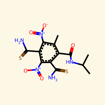 Cc1c(C(=O)NC(C)C)c(C(N)=S)c([N+](=O)[O-])c(C(N)=S)c1[N+](=O)[O-]